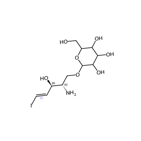 N[C@@H](COC1OC(CO)C(O)C(O)C1O)[C@H](O)/C=C/I